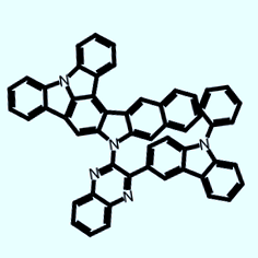 c1ccc(-n2c3ccccc3c3cc(-c4nc5ccccc5nc4-n4c5cc6ccccc6cc5c5c6c7ccccc7n7c8ccccc8c(cc54)c67)ccc32)cc1